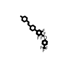 CC1CCC(/C=C/C2CCC(c3cc(F)c(C(F)(F)Oc4ccc(C(F)(F)F)cc4)c(F)c3)CC2)CC1